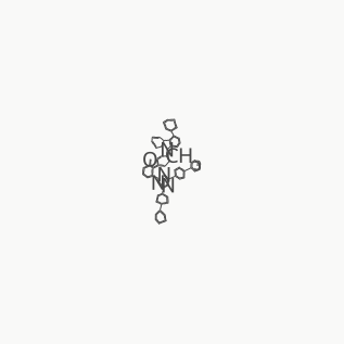 CC1(N2c3cccc(-c4ccccc4)c3C3C=CC=CC32)C=c2oc3cccc(-c4nc(-c5ccc(-c6ccccc6)cc5)nc(-c5ccc(-c6ccccc6)cc5)n4)c3c2=CC1